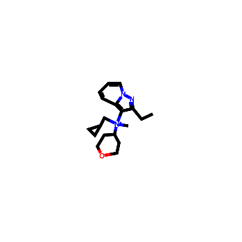 CCc1nn2ccccc2c1[N+](C)(CC1CC1)C1CCOCC1